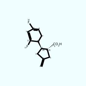 C=C1C[C@@H](C(=O)O)[C@H](C2CC=C(F)C=C2F)C1